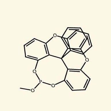 COP1Oc2cccc3c2C2(c4ccccc4O3)c3ccccc3Oc3cccc(c32)O1